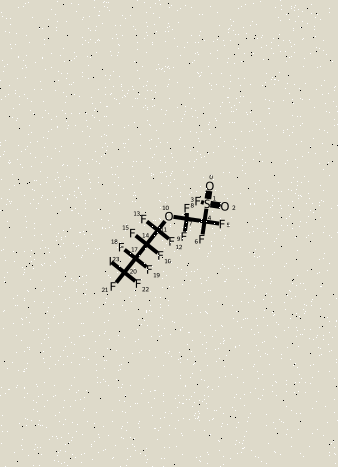 O=S(=O)(F)C(F)(F)C(F)(F)OC(F)(F)C(F)(F)C(F)(F)C(F)(F)I